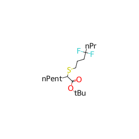 CCCCCC(SCCCC(F)(F)CCC)C(=O)OC(C)(C)C